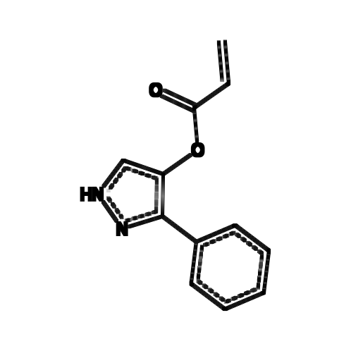 C=CC(=O)Oc1c[nH]nc1-c1ccccc1